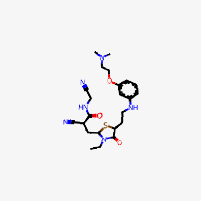 CCN1C(=O)C(CCNc2cccc(OCCN(C)C)c2)SC1CC(C#N)C(=O)NCC#N